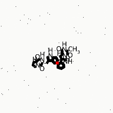 C[C@H]1NC(=O)[C@H]2C[C@@]3(c4ccc5c(C[C@H]6NC(=O)[C@H]7CCCN7C6=O)c[nH]c5c4)c4ccccc4N[C@H]3N2C1=O